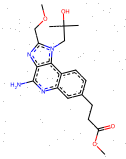 COCc1nc2c(N)nc3cc(CCC(=O)OC)ccc3c2n1CC(C)(C)O